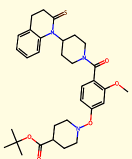 COc1cc(ON2CCC(C(=O)OC(C)(C)C)CC2)ccc1C(=O)N1CCC(N2C(=S)CCc3ccccc32)CC1